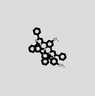 Cc1ccc(-c2ccc3c4ccccc4n(-c4c(-c5cc(-c6ccccc6)nc(-c6ccccc6)n5)cc(C(F)(F)F)cc4-c4cc(-c5ccccc5)nc(-c5ccccc5)n4)c3c2)cc1